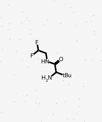 CC(C)(C)C(N)C(=O)NCC(F)F